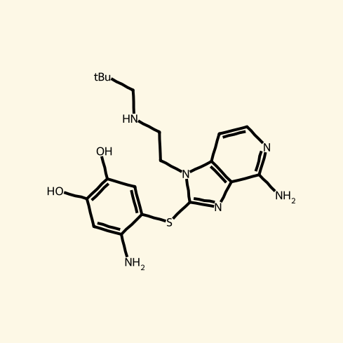 CC(C)(C)CNCCn1c(Sc2cc(O)c(O)cc2N)nc2c(N)nccc21